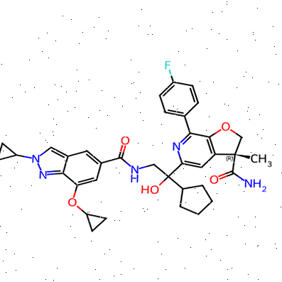 C[C@]1(C(N)=O)COc2c1cc(C(O)(CNC(=O)c1cc(OC3CC3)c3nn(C4CC4)cc3c1)C1CCCC1)nc2-c1ccc(F)cc1